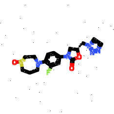 O=C1O[C@@H](Cn2ccnn2)CN1c1ccc(N2CCC[S+]([O-])CC2)c(F)c1